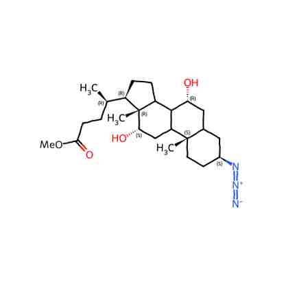 COC(=O)CC[C@@H](C)[C@H]1CCC2C3C(C[C@H](O)[C@@]21C)[C@@]1(C)CC[C@H](N=[N+]=[N-])CC1C[C@H]3O